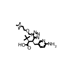 CC(C)(C)[C@H](C(=O)O)[C@H](Cc1ccc(N)nc1)c1nnnn1COCC[Si](C)(C)C